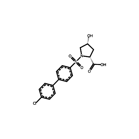 O=C(O)[C@H]1C[C@@H](O)CN1S(=O)(=O)c1ccc(-c2ccc(Cl)cc2)cc1